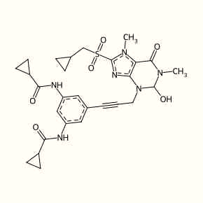 CN1C(=O)c2c(nc(S(=O)(=O)CC3CC3)n2C)N(CC#Cc2cc(NC(=O)C3CC3)cc(NC(=O)C3CC3)c2)C1O